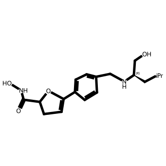 CC(C)C[C@H](CO)NCc1ccc(C2=CCC(C(=O)NO)O2)cc1